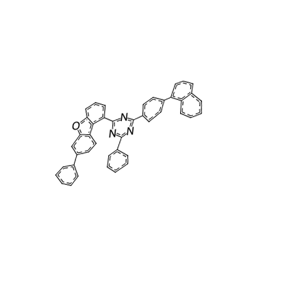 c1ccc(-c2ccc3c(c2)oc2cccc(-c4nc(-c5ccccc5)nc(-c5ccc(-c6cccc7ccccc67)cc5)n4)c23)cc1